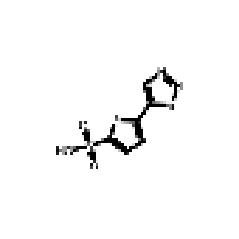 O=S(=O)(O)c1ccc(-c2cnns2)s1